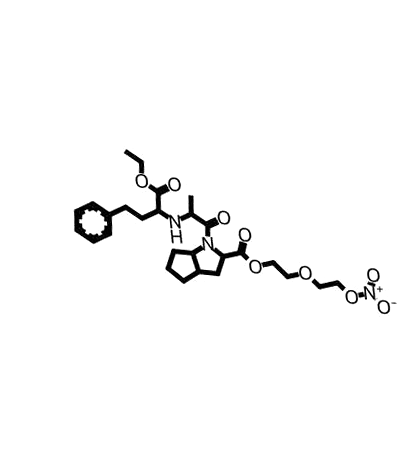 CCOC(=O)C(CCc1ccccc1)NC(C)C(=O)N1C(C(=O)OCCOCCO[N+](=O)[O-])CC2CCCC21